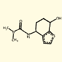 CN(C)C(=O)NC1CCC(O)c2sccc21